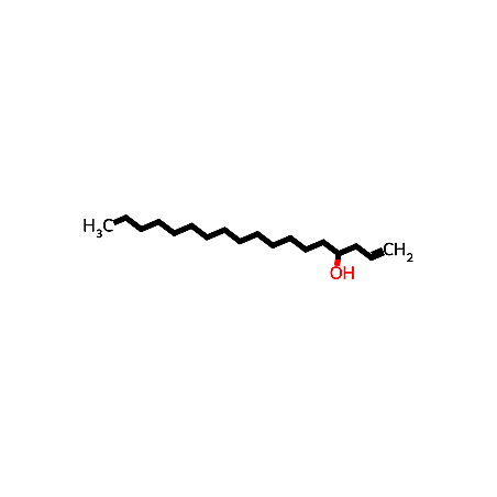 C=CCC(O)CCCCCCCCCCCCCC